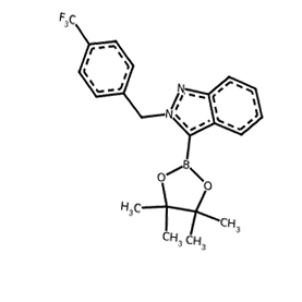 CC1(C)OB(c2c3ccccc3nn2Cc2ccc(C(F)(F)F)cc2)OC1(C)C